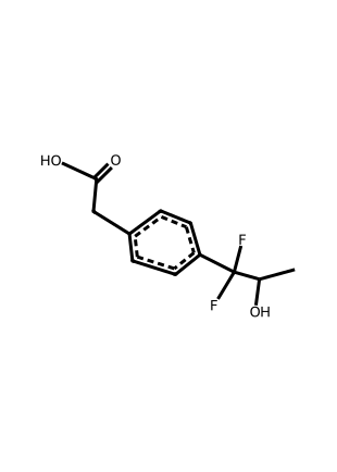 CC(O)C(F)(F)c1ccc(CC(=O)O)cc1